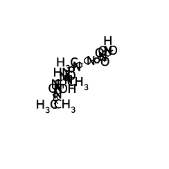 C[C@H]1CC([C@@H]2CCCN(c3ccc4c(c3)C(=O)N(C3CCC(=O)NC3=O)C4=O)CC2)CCN1c1ccc(Nc2nc(-c3ccnc(N4CCn5c(cc6c5CC(C)(C)C6)C4=O)c3CO)cn(C)c2=O)cc1